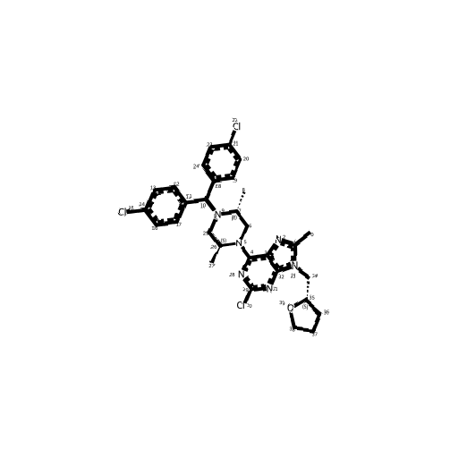 Cc1nc2c(N3C[C@@H](C)N(C(c4ccc(Cl)cc4)c4ccc(Cl)cc4)C[C@@H]3C)nc(Cl)nc2n1C[C@@H]1CCCO1